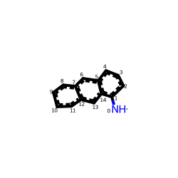 [NH]c1cccc2cc3ccccc3cc12